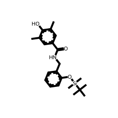 Cc1cc(C(=O)NCc2ccccc2O[Si](C)(C)C(C)(C)C)cc(C)c1O